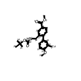 COC(=O)c1ccc(-c2ccc(OC)c(F)c2)c(CNC(=O)OC(C)(C)C)c1